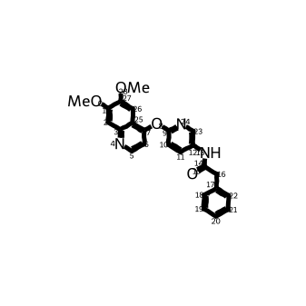 COc1cc2nccc(Oc3ccc(NC(=O)Cc4[c]cccc4)cn3)c2cc1OC